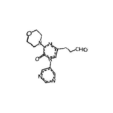 O=CCCc1cn(-c2cncnc2)c(=O)c(N2CCOCC2)n1